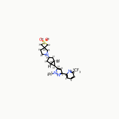 CC(C)n1nc(-c2cccc(C(F)(F)F)n2)cc1C1[C@H]2CC(N3CCC4(C3)CS(=O)(=O)C4)C[C@@H]12